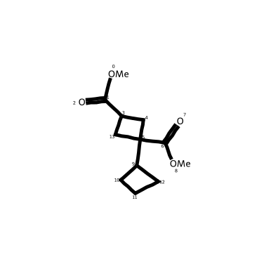 COC(=O)C1CC(C(=O)OC)(C2CCC2)C1